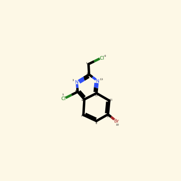 ClCc1nc(Cl)c2ccc(Br)cc2n1